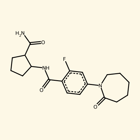 NC(=O)C1CCCC1NC(=O)c1ccc(N2CCCCCC2=O)cc1F